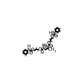 CC(CNC(=O)OCCCOC(=O)Nc1ccccc1)NC(=O)OCCCOC(=O)Nc1ccccc1